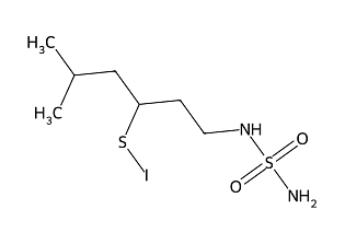 CC(C)CC(CCNS(N)(=O)=O)SI